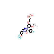 COc1cc(NC(C(=O)N2CCc3ccc(OC(F)(F)F)cc32)c2ccc(F)cc2)cc(OCCCC(=O)O)c1